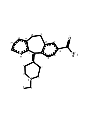 CCN1CCC(=C2c3ccc(C(N)=O)cc3CCc3cccnc32)CC1